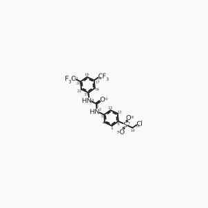 O=C(Nc1ccc(S(=O)(=O)CCl)cc1)Nc1cc(C(F)(F)F)cc(C(F)(F)F)c1